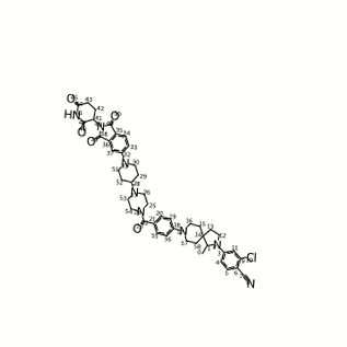 CC1N(c2ccc(C#N)c(Cl)c2)CCC12CCN(c1ccc(C(=O)N3CCN(C4CCN(c5ccc6c(c5)C(=O)N(C5CCC(=O)NC5=O)C6=O)CC4)CC3)cc1)CC2